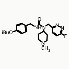 CC(C)COc1ccc(CNC(=O)N(Cc2ccc(F)nn2)C2CCN(C)CC2)cc1